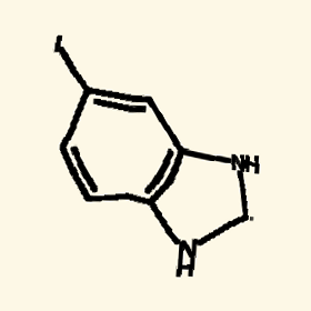 Ic1ccc2c(c1)N[CH]N2